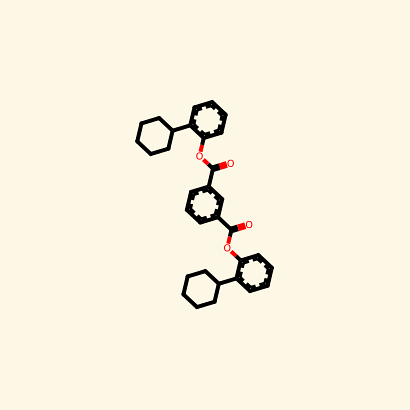 O=C(Oc1ccccc1C1CCCCC1)c1cccc(C(=O)Oc2ccccc2C2CCCCC2)c1